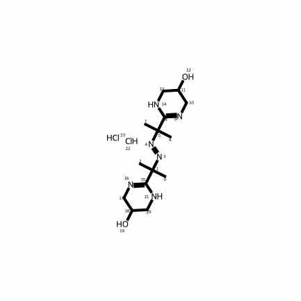 CC(C)(/N=N/C(C)(C)C1=NCC(O)CN1)C1=NCC(O)CN1.Cl.Cl